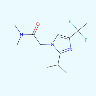 CC(C)c1nc(C(C)(F)F)cn1CC(=O)N(C)C